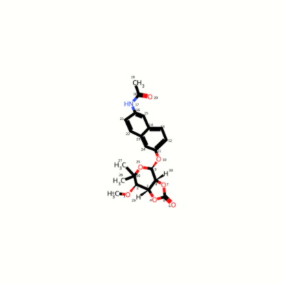 CO[C@@H]1[C@H]2OC(=O)O[C@H]2[C@H](Oc2ccc3cc(NC(C)=O)ccc3c2)OC1(C)C